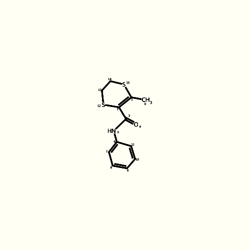 CC1=C(C(=O)Nc2ccccc2)SCCS1